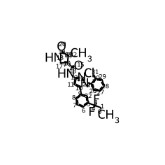 CCC(F)(F)c1cccc(-c2cc(NC(=O)[C@H]3CNC(=O)[C@@H]3C)nn2-c2ccccc2Cl)c1